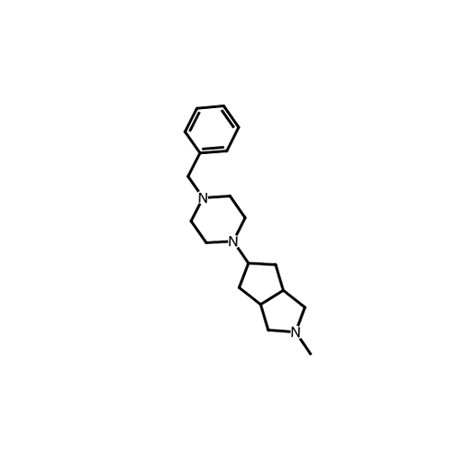 CN1CC2CC(N3CCN(Cc4ccccc4)CC3)CC2C1